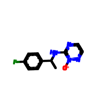 CC(Nc1nccn[n+]1[O-])c1ccc(F)cc1